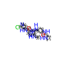 O=C(C[C@@H]1CCCN1)N[C@H]1CC[C@H](Nc2cc(NC3CC3)c3ncc(C(=O)Nc4ccnc(Cl)c4)n3n2)CC1